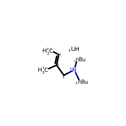 [CH2]C=C(C)CN(CCCC)CCCC.[LiH]